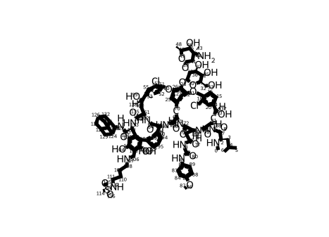 CN[C@H](CC(C)C)C(=O)N[C@@H]1C[C@H](O)c2ccc(c(Cl)c2)Oc2cc3cc(c2O[C@@H]2O[C@H](CO)[C@@H](O)[C@H](O)[C@H]2O[C@H]2C[C@](C)(N)[C@H](O)[C@H](C)O2)Oc2ccc(cc2Cl)[C@@H](O)C[C@@H]2NC(=O)[C@H](NC(=O)[C@@H](C3)NC(=O)[C@H](CC(=O)NC(=O)Nc3ccc(OC)cc3)NC1=O)c1ccc(O)c(c1)-c1c(cc(O)c(CNCCCCNS(C)(=O)=O)c1O)[C@@H](C(=O)NC1C3CC4CC(C3)CC1C4)NC2=O